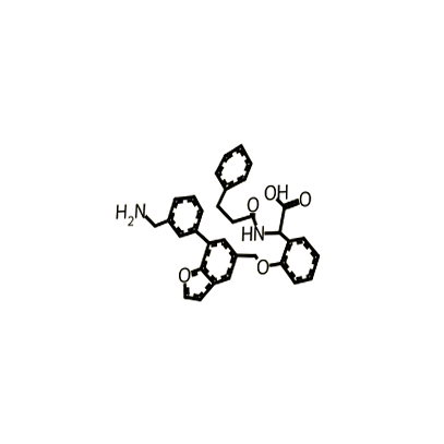 NCc1cccc(-c2cc(COc3ccccc3C(NC(=O)CCc3ccccc3)C(=O)O)cc3ccoc23)c1